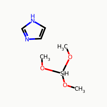 CO[SiH](OC)OC.c1c[nH]cn1